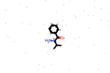 CC(C)[C@@H](N)C(=O)c1ccccc1